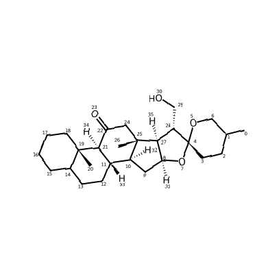 CC1CC[C@@]2(OC1)O[C@H]1C[C@H]3[C@@H]4CCC5CCCC[C@]5(C)[C@H]4C(=O)C[C@]3(C)[C@H]1[C@@H]2CO